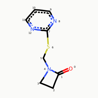 O=C1CCN1CSc1ncccn1